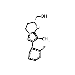 Cc1c(-c2ccccc2F)nn2c1O[C@@H](CO)CC2